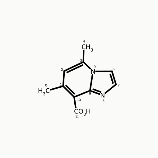 Cc1cc(C)n2ccnc2c1C(=O)O